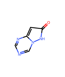 O=c1cc2ncncn2[nH]1